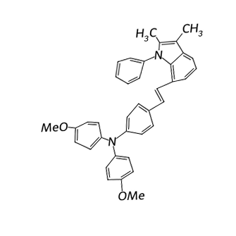 COc1ccc(N(c2ccc(/C=C/c3cccc4c(C)c(C)n(-c5ccccc5)c34)cc2)c2ccc(OC)cc2)cc1